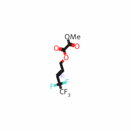 COC(=O)C(=O)OC/C=C/C(F)(F)C(F)(F)F